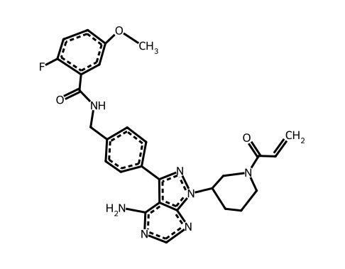 C=CC(=O)N1CCCC(n2nc(-c3ccc(CNC(=O)c4cc(OC)ccc4F)cc3)c3c(N)ncnc32)C1